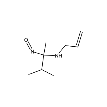 C=CCNC(C)(N=O)C(C)C